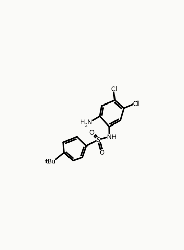 CC(C)(C)c1ccc(S(=O)(=O)Nc2cc(Cl)c(Cl)cc2N)cc1